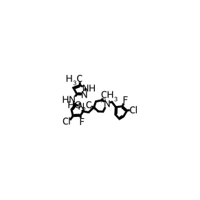 Cc1cc(Nc2cc(Cl)c(F)c(C[C@@]3(C(=O)O)CCN(Cc4cccc(Cl)c4F)[C@H](C)C3)n2)n[nH]1